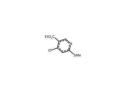 CCOC(=O)c1cnc(SC)cc1Cl